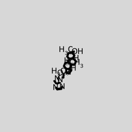 CC12CC[C@H]3[C@@H](CC[C@@H]4C[C@](C)(O)CC[C@@]43C)[C@@H]1CC[C@@H]2C(=O)Cn1ncc2nccnc21